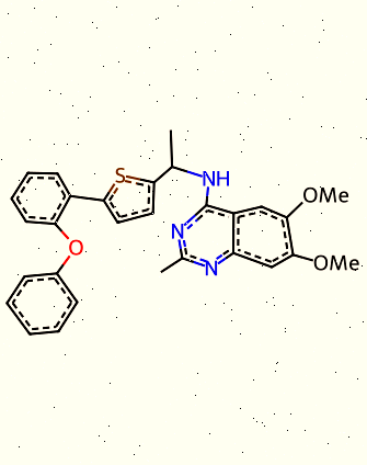 COc1cc2nc(C)nc(NC(C)c3ccc(-c4ccccc4Oc4ccccc4)s3)c2cc1OC